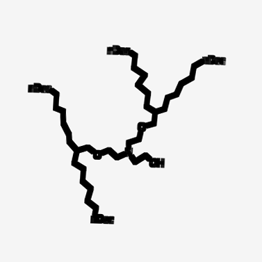 CCCCCCCCCCCCCCCCC(CCCCCCCCCCCCCCCC)COCCN(CCO)CCOCC(CCCCCCCCCCCCCCCC)CCCCCCCCCCCCCCCC